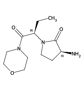 CC[C@H](C(=O)N1CCOCC1)N1CC[C@H](N)C1=O